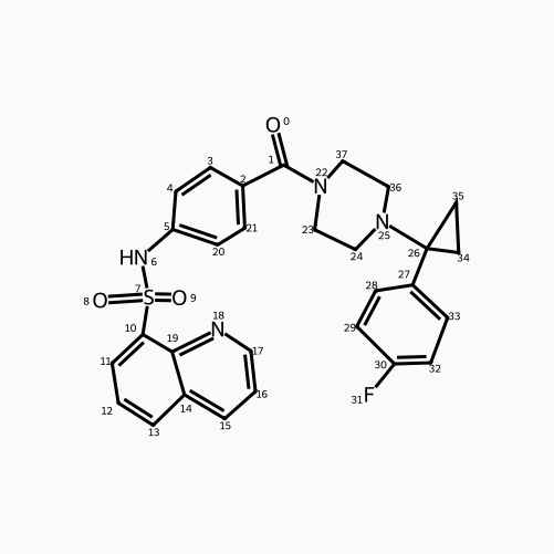 O=C(c1ccc(NS(=O)(=O)c2cccc3cccnc23)cc1)N1CCN(C2(c3ccc(F)cc3)CC2)CC1